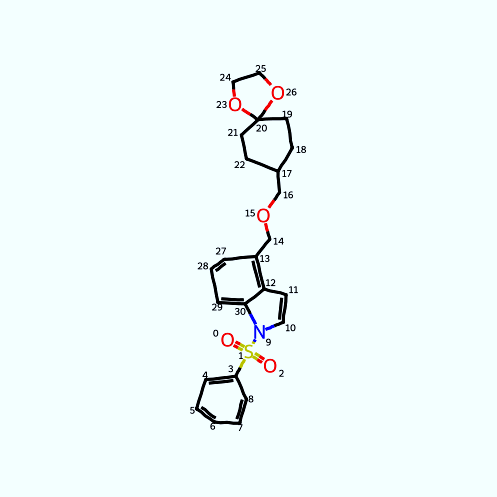 O=S(=O)(c1ccccc1)n1ccc2c(COCC3CCC4(CC3)OCCO4)cccc21